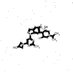 Cc1nc(N2CC(O)C2)cc(-n2ncc3cc(C)c(C4C(F)CN(C(C)C)C[C@H]4S)cc32)n1